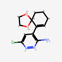 Nc1nnc(Cl)cc1C1=CCCCC12OCCO2